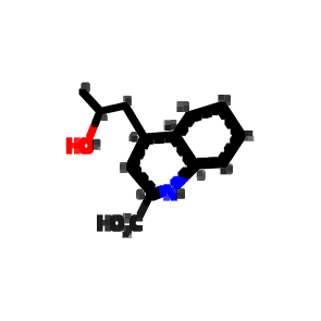 CC(O)Cc1cc(C(=O)O)nc2ccccc12